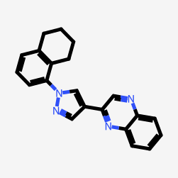 c1cc2c(c(-n3cc(-c4cnc5ccccc5n4)cn3)c1)CCCC2